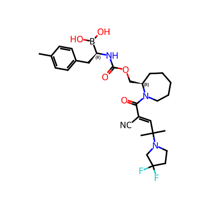 Cc1ccc(C[C@H](NC(=O)OC[C@H]2CCCCCN2C(=O)C(C#N)=CC(C)(C)N2CCC(F)(F)C2)B(O)O)cc1